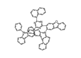 c1ccc(-n2c3ccccc3c3ccc(-c4nc(-c5cc6oc7ccccc7c6cc5-n5c6cc7ccccc7cc6c6c7ccccc7ccc65)nc(-c5cccc6ccccc56)n4)cc32)cc1